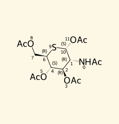 CC(=O)N[C@@H]1[C@@H](OC(C)=O)[C@H](OC(C)=O)[C@@H](COC(C)=O)S[C@@H]1OC(C)=O